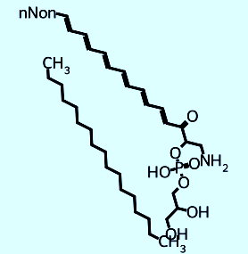 CCCCCCCCCC=CC=CC=CC=CC=CC=CC(=O)C(CN)OP(=O)(O)OCC(O)CO.CCCCCCCCCCCCCCCCC